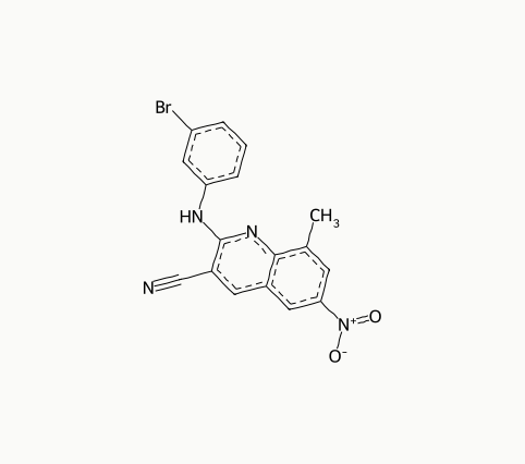 Cc1cc([N+](=O)[O-])cc2cc(C#N)c(Nc3cccc(Br)c3)nc12